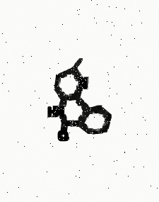 Cc1ccc2[nH]c(=O)c3ccccc3c2n1